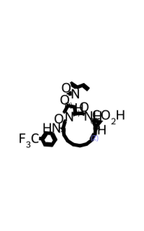 C=Cc1coc(O[C@@H]2C[C@H]3C(=O)N[C@]4(C(=O)O)C[C@H]4/C=C\CCCCC[C@H](Nc4cccc(C(F)(F)F)c4)C(=O)N3C2)n1